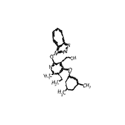 CCc1c(C)nc(On2nnc3ccccc32)c(CO)c1OC1CC(C)CC(C)C1